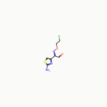 Nc1nc(C(C=O)=NOCCCl)cs1